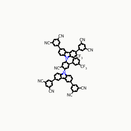 N#Cc1cc(C#N)cc(-c2ccc3c(c2)c2cc(-c4cc(C#N)cc(C#N)c4)ccc2n3-c2cc(-c3cc(C(F)(F)F)cc(C(F)(F)F)c3)c(-n3c4ccc(-c5cc(C#N)cc(C#N)c5)cc4c4cc(-c5cc(C#N)cc(C#N)c5)ccc43)cc2C#N)c1